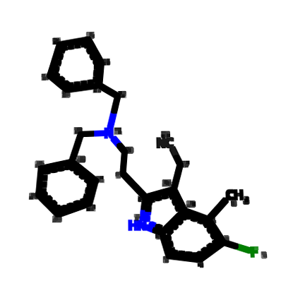 Cc1c(F)ccc2[nH]c(CCN(Cc3ccccc3)Cc3ccccc3)c(CC#N)c12